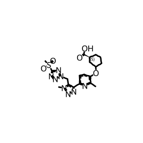 Cc1nc(-c2nnn(C)c2Cn2nnc(S(C)(=O)=O)n2)ccc1OC1CCC[C@H](C(=O)O)C1